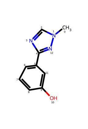 Cn1cnc(-c2cccc(O)c2)n1